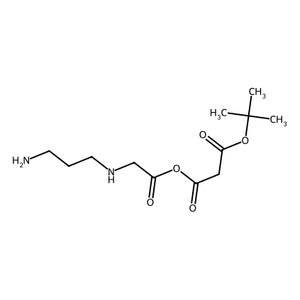 CC(C)(C)OC(=O)CC(=O)OC(=O)CNCCCN